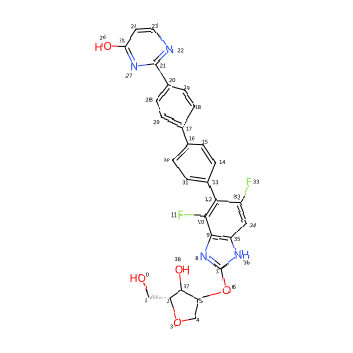 OC[C@H]1OCC(Oc2nc3c(F)c(-c4ccc(-c5ccc(-c6nccc(O)n6)cc5)cc4)c(F)cc3[nH]2)C1O